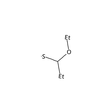 CCOC([S])CC